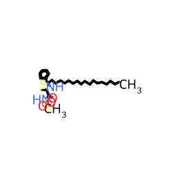 CCCCCCCCCCCCCCCCCCC1(c2ccccc2)NC(C(=O)NS(C)(=O)=O)CS1